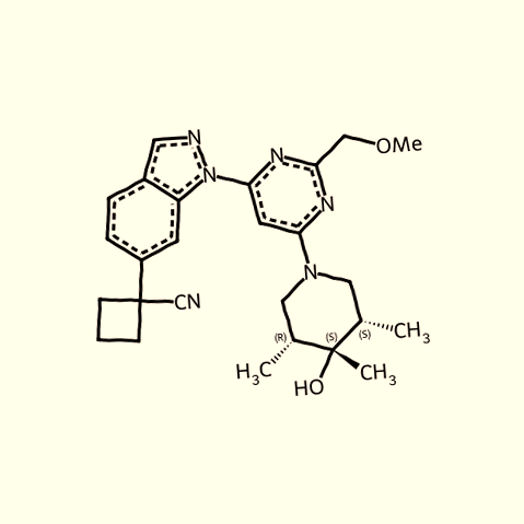 COCc1nc(N2C[C@@H](C)[C@@](C)(O)[C@@H](C)C2)cc(-n2ncc3ccc(C4(C#N)CCC4)cc32)n1